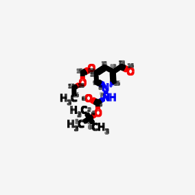 CC(C)(C)OC(=O)N[n+]1cccc(C=O)c1.CCOC=O